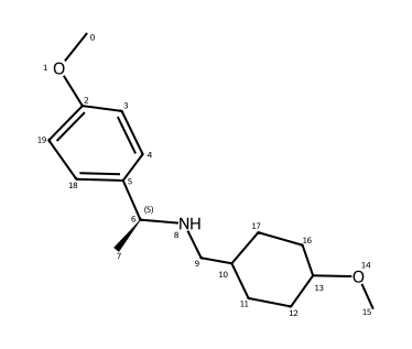 COc1ccc([C@H](C)NCC2CCC(OC)CC2)cc1